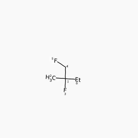 CCC(C)(F)CF